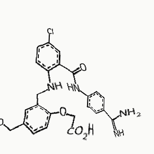 N=C(N)c1ccc(NC(=O)c2cc(Cl)ccc2NCc2cc(CO)ccc2OCC(=O)O)cc1